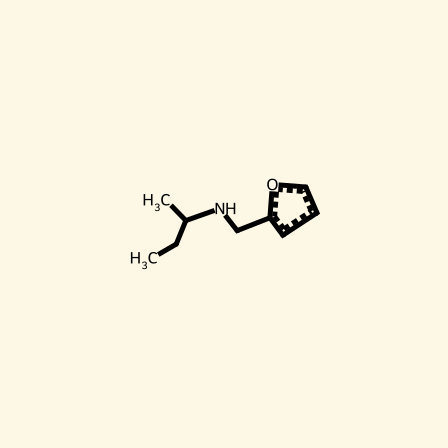 CCC(C)NCc1ccco1